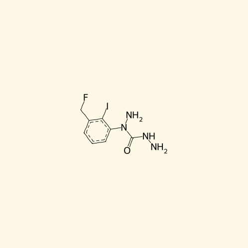 NNC(=O)N(N)c1cccc(CF)c1I